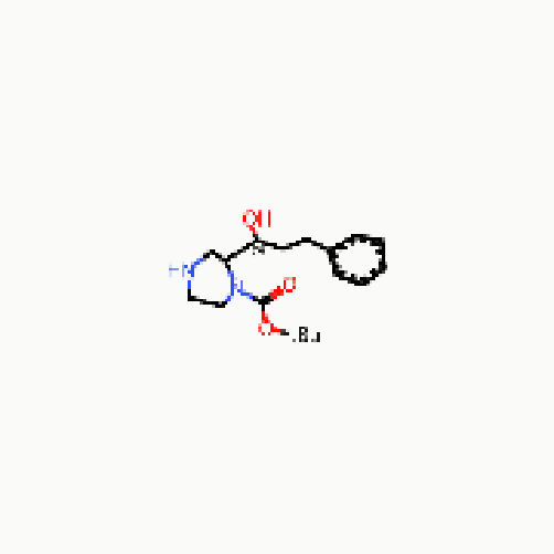 CC(C)(C)OC(=O)N1CCNCC1[C@@H](O)CCc1ccccc1